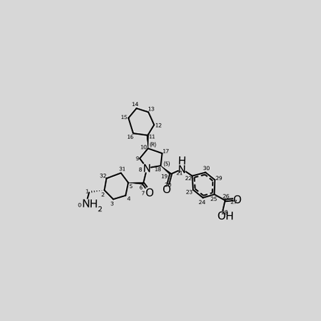 NC[C@H]1CC[C@H](C(=O)N2C[C@@H](C3CCCCC3)C[C@H]2C(=O)Nc2ccc(C(=O)O)cc2)CC1